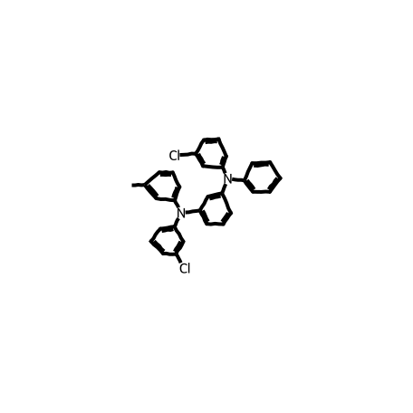 Cc1cccc(N(c2cccc(Cl)c2)c2cccc(N(c3ccccc3)c3cccc(Cl)c3)c2)c1